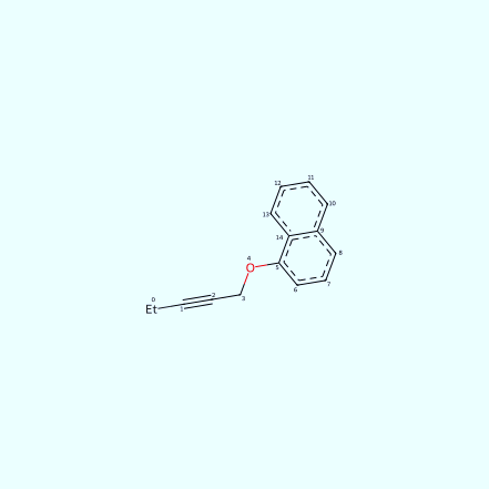 CCC#CCOc1cccc2ccccc12